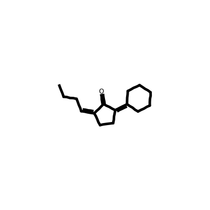 CCCC=C1CCC(=C2CCCCC2)C1=O